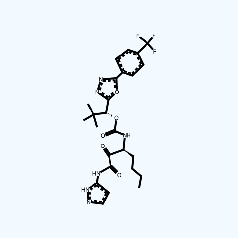 CCCC[C@H](NC(=O)O[C@@H](c1nnc(-c2ccc(C(F)(F)F)cc2)o1)C(C)(C)C)C(=O)C(=O)Nc1ccn[nH]1